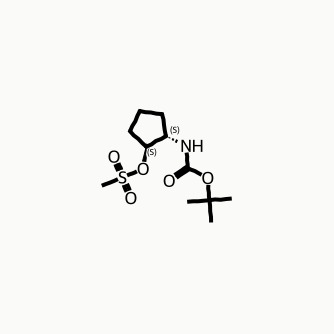 CC(C)(C)OC(=O)N[C@H]1CCC[C@@H]1OS(C)(=O)=O